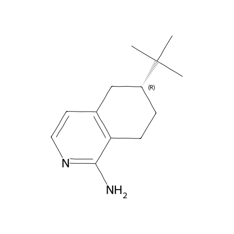 CC(C)(C)[C@@H]1CCc2c(ccnc2N)C1